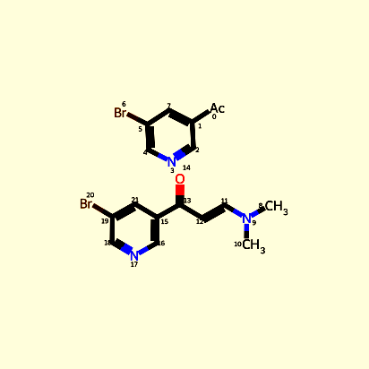 CC(=O)c1cncc(Br)c1.CN(C)C=CC(=O)c1cncc(Br)c1